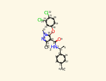 CC(=O)c1ccc([C@H](C)NC(=O)c2c(C(F)(F)F)nn(C)c2Oc2ccc(Cl)c(Cl)c2)cc1